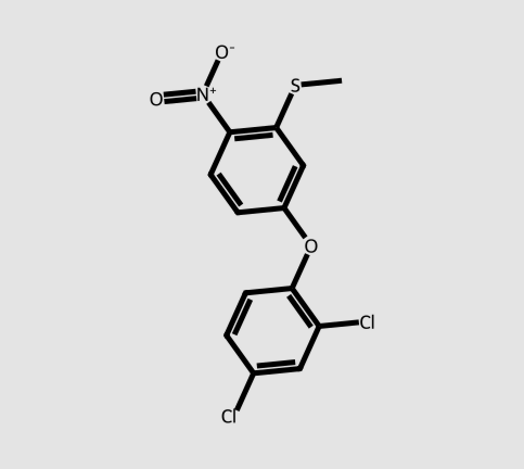 CSc1cc(Oc2ccc(Cl)cc2Cl)ccc1[N+](=O)[O-]